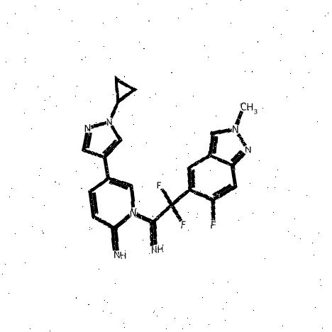 Cn1cc2cc(C(F)(F)C(=N)n3cc(-c4cnn(C5CC5)c4)ccc3=N)c(F)cc2n1